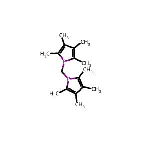 Cc1c(C)c(C)p(Cp2c(C)c(C)c(C)c2C)c1C